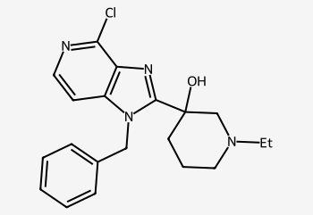 CCN1CCCC(O)(c2nc3c(Cl)nccc3n2Cc2ccccc2)C1